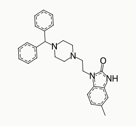 Cc1ccc2c(c1)[nH]c(=O)n2CCN1CCN(C(c2ccccc2)c2ccccc2)CC1